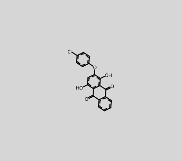 O=C1c2ccccc2C(=O)c2c(O)c(Oc3ccc(Cl)cc3)cc(O)c21